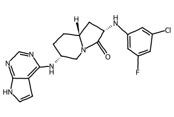 O=C1[C@@H](Nc2cc(F)cc(Cl)c2)C[C@H]2CC[C@@H](Nc3ncnc4[nH]ccc34)CN12